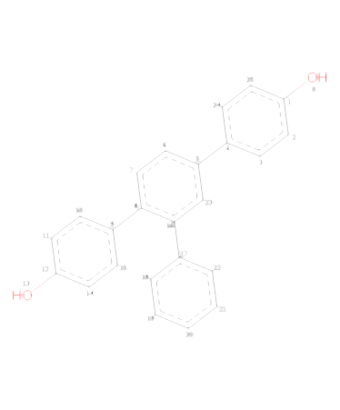 Oc1ccc(-c2ccc(-c3ccc(O)cc3)c(-c3ccccc3)c2)cc1